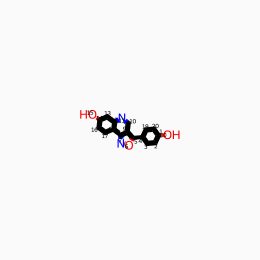 Oc1ccc(-c2onc3c2cnc2cc(O)ccc23)cc1